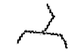 CCCCCCCC/C=C\CCCCCCCCOP(OCCCCCCCC/C=C\CCCCCCCC)OCCCCCCCC/C=C\CCCCCCCC